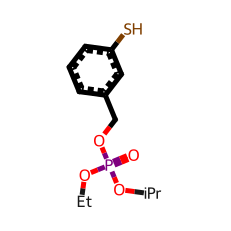 CCOP(=O)(OCc1cccc(S)c1)OC(C)C